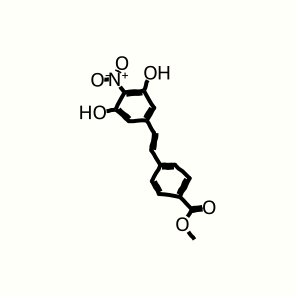 COC(=O)c1ccc(/C=C/c2cc(O)c([N+](=O)[O-])c(O)c2)cc1